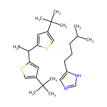 BC(c1cc(C(C)(C)C)cs1)c1cc(C(C)(C)C)cs1.CC(C)CCCc1cnc[nH]1